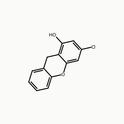 Oc1cc(Cl)cc2c1Cc1ccccc1O2